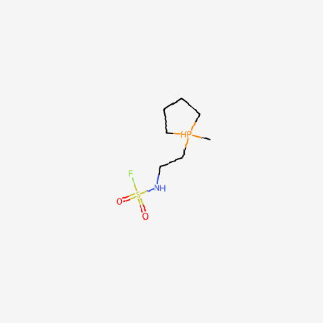 C[PH]1(CCNS(=O)(=O)F)CCCC1